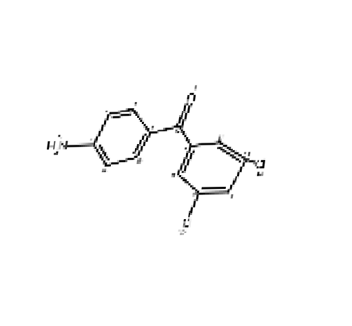 Nc1ccc(C(=O)c2cc(Cl)cc(Cl)c2)cc1